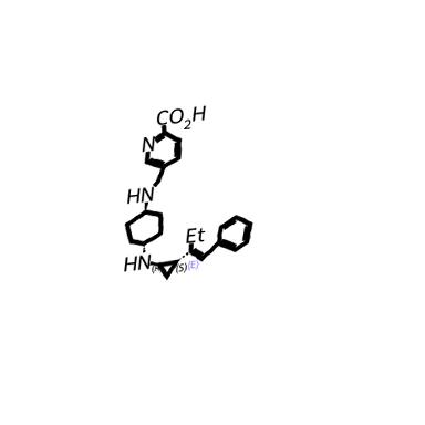 CC/C(=C\c1ccccc1)[C@@H]1C[C@H]1N[C@H]1CC[C@H](NCc2ccc(C(=O)O)nc2)CC1